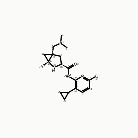 CN(C)C[C@@]12C[C@@H](C(=O)Nc3nc(Br)ccc3C3CC3)N[C@@H]1C2